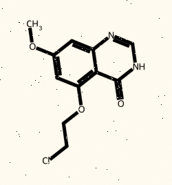 COc1cc(OCCCl)c2c(=O)[nH]cnc2c1